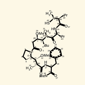 CCC(C)[C@@H]([C@@H](CC(=O)N1CCC[C@H]1[C@H](OC)[C@@H](C)C(=O)NC(Cc1ccccc1)C(=O)NC)OC)N(C)C(=O)[C@@H](NC(=O)[C@H](C(C)C)N(C)S)C(C)C